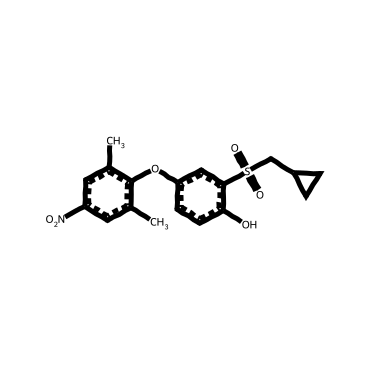 Cc1cc([N+](=O)[O-])cc(C)c1Oc1ccc(O)c(S(=O)(=O)CC2CC2)c1